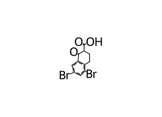 O=C(O)C1CCc2c(Br)cc(Br)cc2C1=O